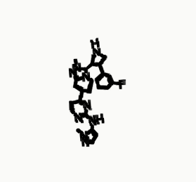 CN1N=C2C=C(c3ccnc(Nc4ccnn4C)n3)C=CN2[C@@H]1C1CNCC1c1cccc(F)c1